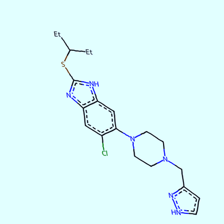 CCC(CC)Sc1nc2cc(Cl)c(N3CCN(Cc4cc[nH]n4)CC3)cc2[nH]1